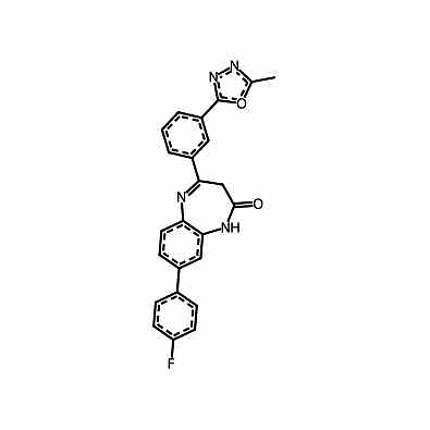 Cc1nnc(-c2cccc(C3=Nc4ccc(-c5ccc(F)cc5)cc4NC(=O)C3)c2)o1